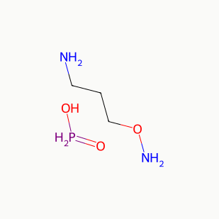 NCCCON.O=[PH2]O